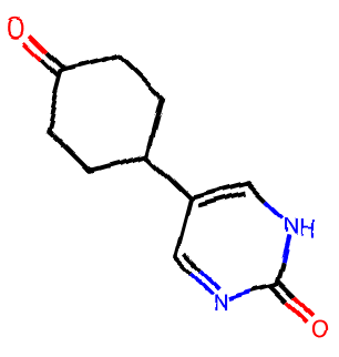 O=C1CCC(c2cnc(=O)[nH]c2)CC1